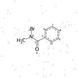 CN(Br)C(=O)c1ccccc1